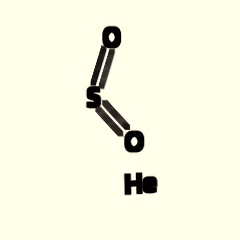 O=S=O.[He]